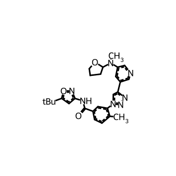 Cc1ccc(C(=O)Nc2cc(C(C)(C)C)on2)cc1-n1cc(-c2cncc(N(C)C3CCCO3)c2)nn1